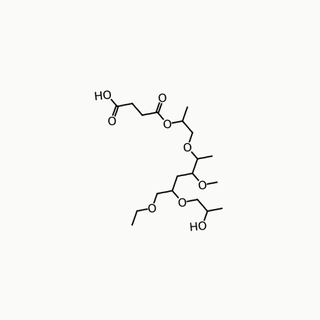 CCOCC(CC(OC)C(C)OCC(C)OC(=O)CCC(=O)O)OCC(C)O